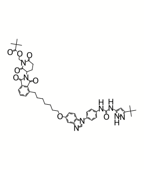 CC(C)(C)C(=O)OCN1C(=O)CCC(N2C(=O)c3cccc(CCCCCCCOc4ccc5c(c4)ncn5-c4ccc(NC(=O)Nc5cc(C(C)(C)C)n[nH]5)cc4)c3C2=O)C1=O